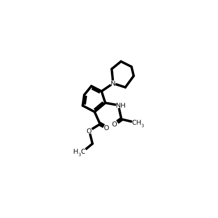 CCOC(=O)c1cccc(N2CCCCC2)c1NC(C)=O